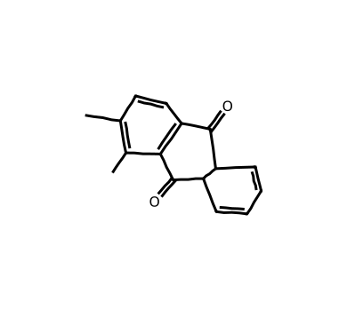 Cc1ccc2c(c1C)C(=O)C1C=CC=CC1C2=O